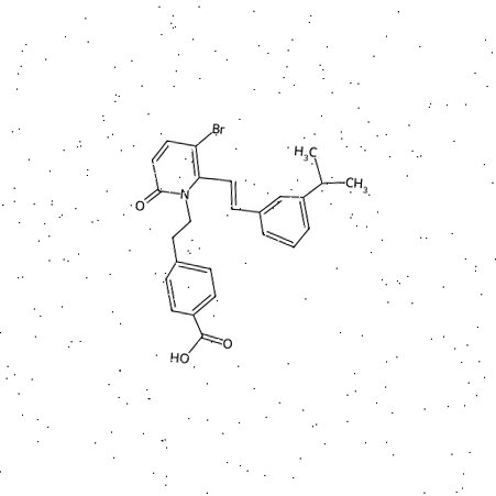 CC(C)c1cccc(C=Cc2c(Br)ccc(=O)n2CCc2ccc(C(=O)O)cc2)c1